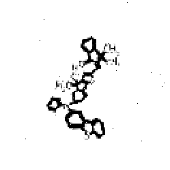 CC1(C)/C(=C/c2cc3c(s2)C2=CC=C(N(c4ccccc4)c4ccc5sc6ccccc6c5c4)CC2C3(C)C)C(=O)c2ccccc21